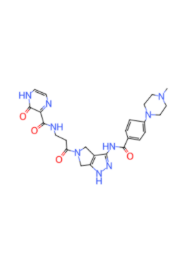 CN1CCN(c2ccc(C(=O)Nc3n[nH]c4c3CN(C(=O)CCNC(=O)c3ncc[nH]c3=O)C4)cc2)CC1